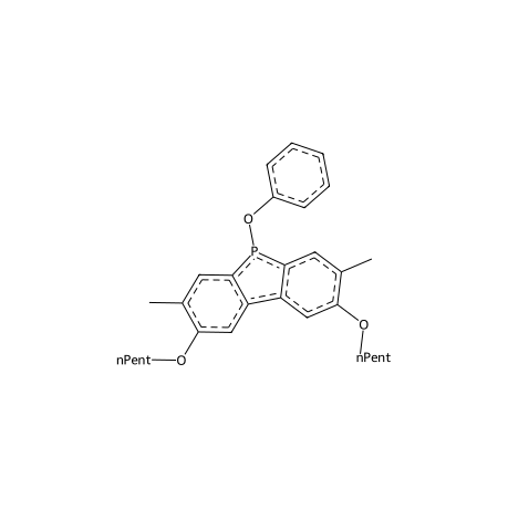 CCCCCOc1cc2c3cc(OCCCCC)c(C)cc3p(Oc3ccccc3)c2cc1C